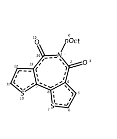 CCCCCCCCn1c(=O)c2ccsc2c2sccc2c1=O